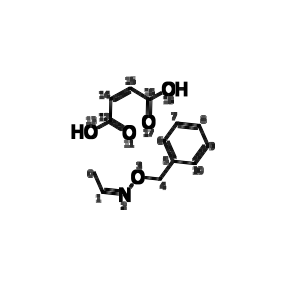 C/C=N\OCc1ccccc1.O=C(O)/C=C\C(=O)O